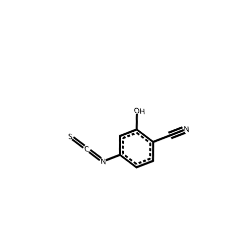 N#Cc1ccc(N=C=S)cc1O